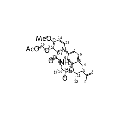 C=C(C)[C@@H](Cc1ccccc1)[C@H](C)OC(=O)[C@H](C)NC(=O)c1nccc(OC)c1OCOC(C)=O